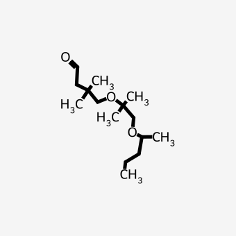 CCCC(C)OCC(C)(C)OCC(C)(C)CC=O